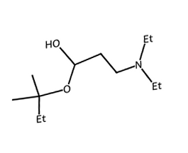 CCN(CC)CCC(O)OC(C)(C)CC